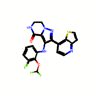 O=C1NCCn2nc(-c3ccnc4ccsc34)c(Nc3cccc(F)c3OC(F)F)c21